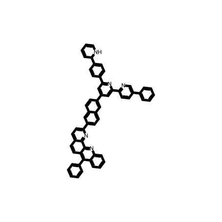 C1=CNC(c2ccc(-c3cc(-c4ccc5cc(-c6ccc7ccc8c(-c9ccccc9)c9ccccc9nc8c7n6)ccc5c4)cc(-c4ccc(-c5ccccc5)cn4)n3)cc2)C=C1